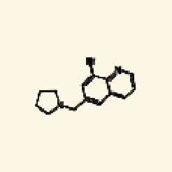 Brc1cc(CN2CCCC2)cc2cccnc12